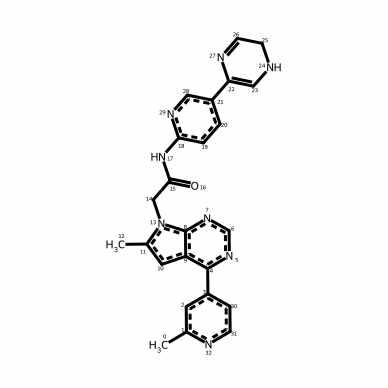 Cc1cc(-c2ncnc3c2cc(C)n3CC(=O)Nc2ccc(C3=CNCC=N3)cn2)ccn1